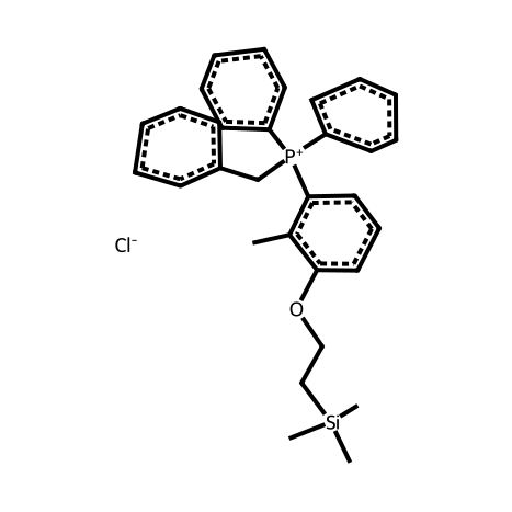 Cc1c(OCC[Si](C)(C)C)cccc1[P+](Cc1ccccc1)(c1ccccc1)c1ccccc1.[Cl-]